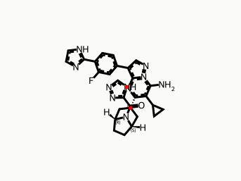 Nc1c(C2CC2)c([C@H]2C[C@H]3CC[C@@H](C2)N3C(=O)c2nnc[nH]2)nc2c(-c3ccc(-c4ncc[nH]4)c(F)c3)cnn12